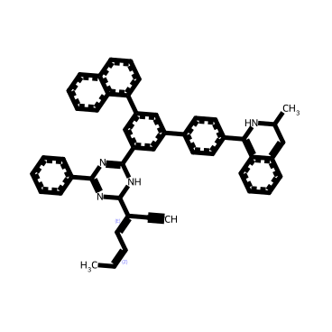 C#C/C(=C\C=C/C)C1N=C(c2ccccc2)N=C(c2cc(-c3ccc(C4=c5ccccc5=CC(C)N4)cc3)cc(-c3cccc4ccccc34)c2)N1